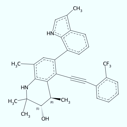 Cc1cc(-c2cccc3c(C)c[nH]c23)c(C#Cc2ccccc2C(F)(F)F)c2c1NC(C)(C)[C@@H](O)[C@@H]2C